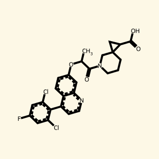 CC(Oc1ccc2c(-c3c(Cl)cc(F)cc3Cl)ccnc2c1)C(=O)N1CCCC2(CC2C(=O)O)C1